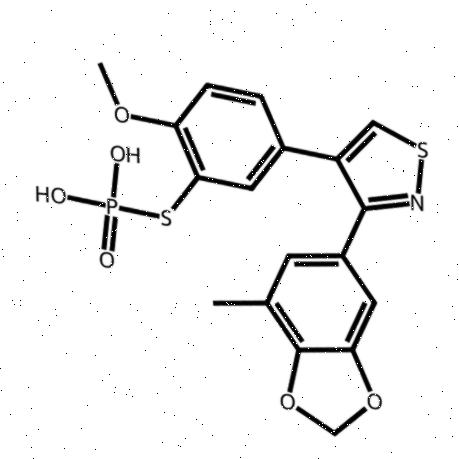 COc1ccc(-c2csnc2-c2cc(C)c3c(c2)OCO3)cc1SP(=O)(O)O